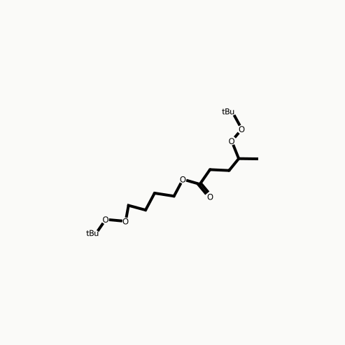 CC(CCC(=O)OCCCCOOC(C)(C)C)OOC(C)(C)C